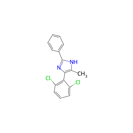 Cc1[nH]c(-c2ccccc2)nc1-c1c(Cl)cccc1Cl